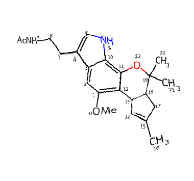 COc1cc2c(CCNC(C)=O)c[nH]c2c2c1C1C=C(C)CC1C(C)(C)O2